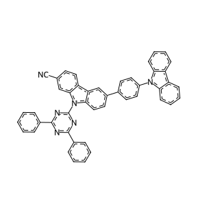 N#Cc1ccc2c3cc(-c4ccc(-n5c6ccccc6c6ccccc65)cc4)ccc3n(-c3nc(-c4ccccc4)nc(-c4ccccc4)n3)c2c1